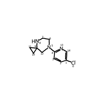 Clc1ccc(N2CCNC3(CC3)C2)nc1